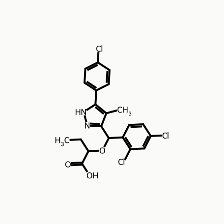 CCC(OC(c1ccc(Cl)cc1Cl)c1n[nH]c(-c2ccc(Cl)cc2)c1C)C(=O)O